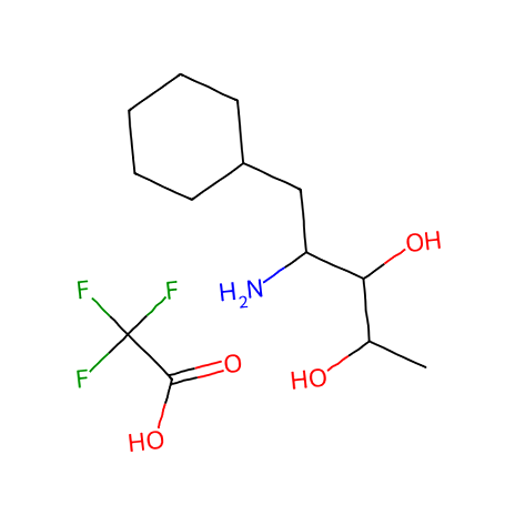 CC(O)C(O)C(N)CC1CCCCC1.O=C(O)C(F)(F)F